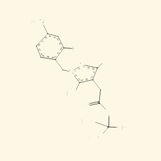 Cc1nn(Cc2ccc(N)cc2F)c(C)c1CC(=O)OC(C)(C)C